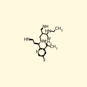 C=C(C)c1cc(F)cnc1/C(=C/C=N)NCC(C=N)C(Br)NCC